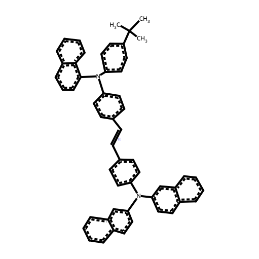 CC(C)(C)c1ccc(N(c2ccc(/C=C/c3ccc(N(c4ccc5ccccc5c4)c4ccc5ccccc5c4)cc3)cc2)c2cccc3ccccc23)cc1